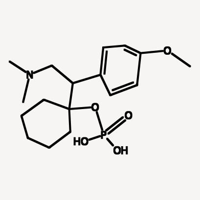 COc1ccc(C(CN(C)C)C2(OP(=O)(O)O)CCCCC2)cc1